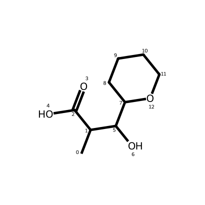 CC(C(=O)O)C(O)C1CCCCO1